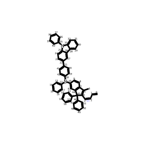 C=C/C=C\C1=C(C)c2ccc(N(c3ccccc3)c3ccc(-c4ccc5c(c4)c4ccccc4n5-c4ccccc4)cc3)cc2C1(c1ccccc1)c1ccccc1